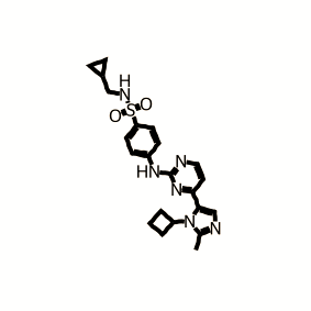 Cc1ncc(-c2ccnc(Nc3ccc(S(=O)(=O)NCC4CC4)cc3)n2)n1C1CCC1